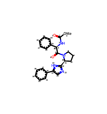 COC(=O)N[C@@H](C(=O)N1CCC[C@H]1c1ncc(-c2ccccc2)[nH]1)c1ccccc1